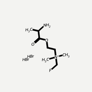 Br.Br.CC(N)C(=O)OCC[N+](C)(C)CF